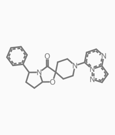 O=C1N2C(CCC2c2ccccc2)OC12CCN(c1ccnc3ccnn13)CC2